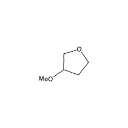 COC1CCOC1